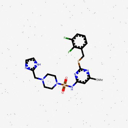 COc1cc(NS(=O)(=O)N2CCN(Cc3ncc[nH]3)CC2)nc(SCc2cccc(F)c2F)n1